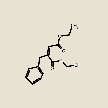 CCOC(=O)C=C(Cc1ccccc1)C(=O)OCC